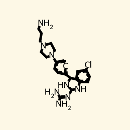 NCCCN1CCN(c2ccc(C3NC(N=C(N)N)Nc4ccc(Cl)cc43)cc2)CC1